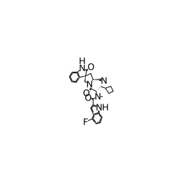 CN(C(=O)c1cc2c(F)cccc2[nH]1)[C@@H](CC1CCC1)C(=O)N1C[C@]2(C[C@H]1C#N)C(=O)Nc1ccccc12